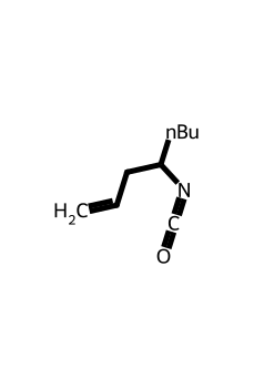 C=CCC(CCCC)N=C=O